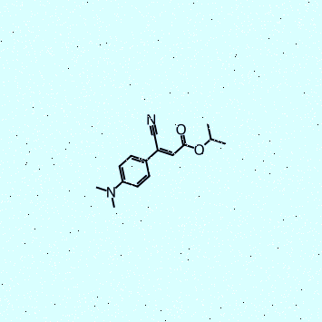 CC(C)OC(=O)C=C(C#N)c1ccc(N(C)C)cc1